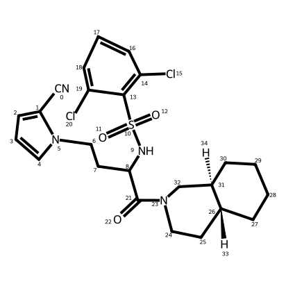 N#Cc1cccn1CCC(NS(=O)(=O)c1c(Cl)cccc1Cl)C(=O)N1CC[C@H]2CCCC[C@@H]2C1